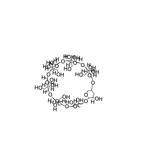 OC[C@H]1O[C@@H]2O[C@H]3[C@H](O)[C@@H](O)[C@@H](O[C@H]4[C@H](O)[C@@H](O)[C@@H](O[C@H]5[C@H](O)[C@@H](O)[C@@H](O[C@H]6[C@H](O)[C@@H](O)C(OC7COC(OC8COC(OC1C[C@H]2O)[C@H](O)C8O)[C@H](O)C7)O[C@@H]6CO)O[C@@H]5CO)O[C@@H]4CO)O[C@@H]3CO